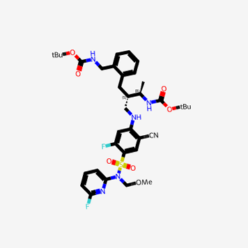 COCN(c1cccc(F)n1)S(=O)(=O)c1cc(C#N)c(NC[C@H](Cc2ccccc2CNC(=O)OC(C)(C)C)[C@@H](C)NC(=O)OC(C)(C)C)cc1F